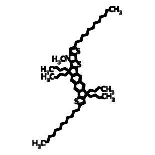 CCCCCCCCCCCCc1cc2c(s1)-c1cc3cc4c(cc3cc1C2(CCCC)CCCC)C1=C(C2C(S1)c1sc(CCCCCCCCCCCC)cc1N2C)C4(CCCC)CCCC